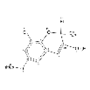 CCCCCCOc1cc(Cl)c2c(c1)C=C(C(=O)O)C(CC)(C(F)(F)F)O2